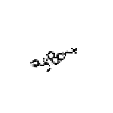 CCN(C(=O)Cc1cccnc1)[C@H]1CCC2(CCN(CCC(C)(C)C)CC2)c2ccccc21